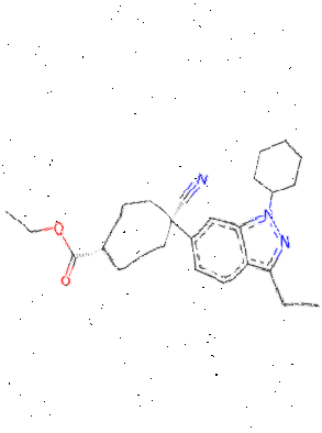 CCOC(=O)[C@H]1CC[C@](C#N)(c2ccc3c(CC)nn(C4CCCCC4)c3c2)CC1